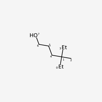 CCC(C)(CC)C[CH]CO